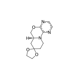 c1cnc2c(n1)OC[C@H]1CC3(CCN21)OCCO3